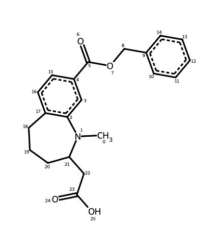 CN1c2cc(C(=O)OCc3ccccc3)ccc2CCCC1CC(=O)O